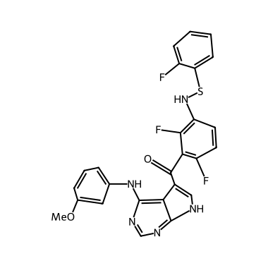 COc1cccc(Nc2ncnc3[nH]cc(C(=O)c4c(F)ccc(NSc5ccccc5F)c4F)c23)c1